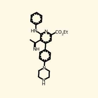 CCOC(=O)c1cc(-c2ccc(N3CCNCC3)cc2)c(C(C)=N)c(Nc2ccccc2)n1